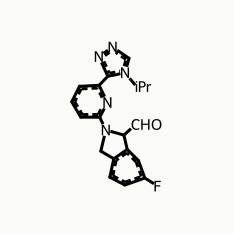 CC(C)n1cnnc1-c1cccc(N2Cc3ccc(F)cc3C2C=O)n1